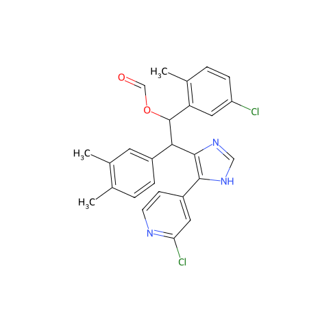 Cc1ccc(C(c2nc[nH]c2-c2ccnc(Cl)c2)C(OC=O)c2cc(Cl)ccc2C)cc1C